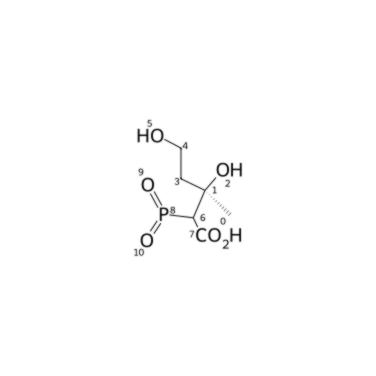 C[C@@](O)(CCO)C(C(=O)O)P(=O)=O